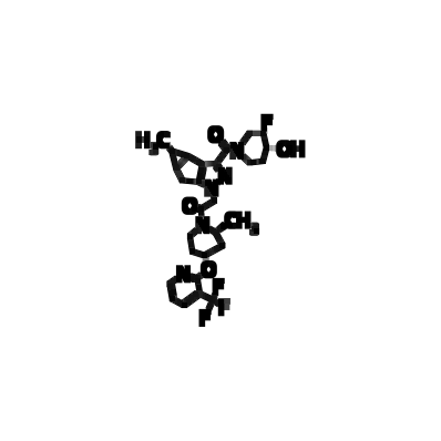 CC1C2Cc3c(c(C(=O)N4CC[C@@H](O)[C@@H](F)C4)nn3CC(=O)N3CC[C@@H](Oc4ncccc4C(F)(F)F)C[C@@H]3C)C12